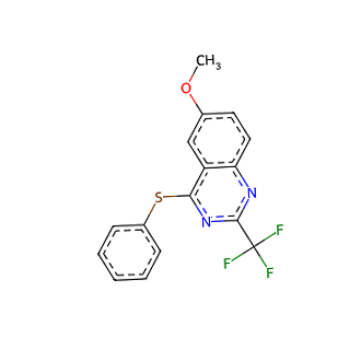 COc1ccc2nc(C(F)(F)F)nc(Sc3ccccc3)c2c1